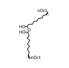 CCCCCCCC/C=C\CCCCCCCC(O)OC(O)CCCCCCC/C=C\CCCCCCCC